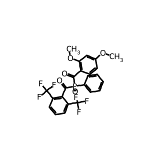 COc1ccc(C(=O)P(=O)(C(=O)c2c(C(F)(F)F)cccc2C(F)(F)F)c2ccccc2)c(OC)c1